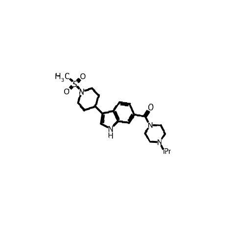 CC(C)N1CCN(C(=O)c2ccc3c(C4CCN(S(C)(=O)=O)CC4)c[nH]c3c2)CC1